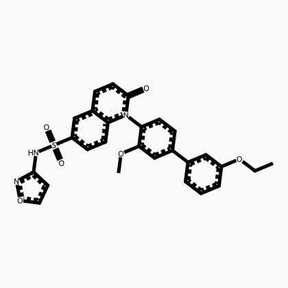 CCOc1cccc(-c2ccc(-n3c(=O)ccc4cc(S(=O)(=O)Nc5ccon5)ccc43)c(OC)c2)c1